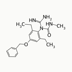 CCc1cc(OCc2ccccc2)cc(CC)c1N(C(=N)N)C(=O)NC